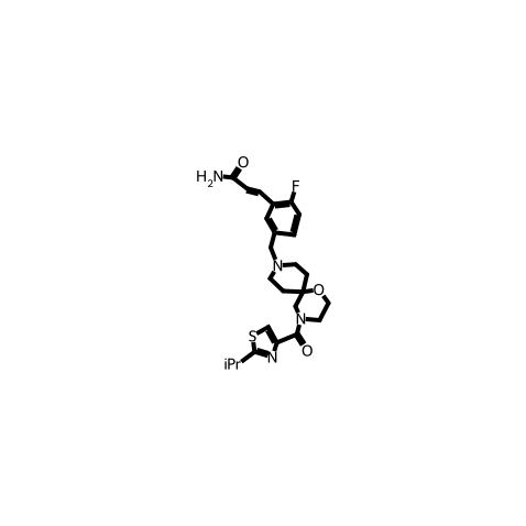 CC(C)c1nc(C(=O)N2CCOC3(CCN(Cc4ccc(F)c(C=CC(N)=O)c4)CC3)C2)cs1